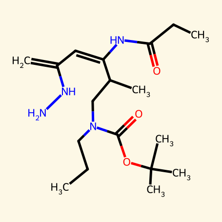 C=C(/C=C(/NC(=O)CC)C(C)CN(CCC)C(=O)OC(C)(C)C)NN